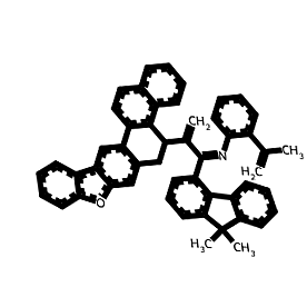 C=C(C)c1ccccc1/N=C(\C(=C)C1Cc2cc3oc4ccccc4c3cc2-c2ccc3ccccc3c21)c1cccc2c1-c1ccccc1C2(C)C